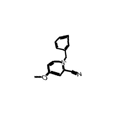 COc1cc[n+](Cc2ccccc2)c(C#N)c1